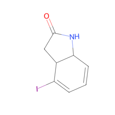 O=C1CC2C(I)=CC=CC2N1